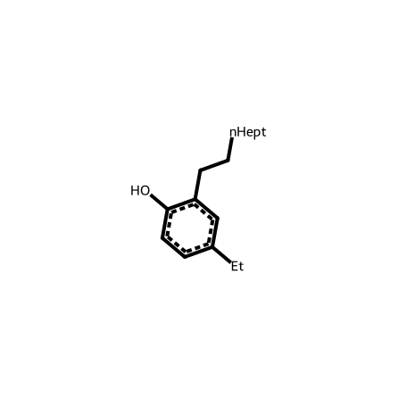 CCCCCCCCCc1cc(CC)ccc1O